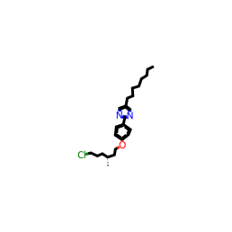 CCCCCCCCc1cnc(-c2ccc(OCC[C@H](C)CCCCl)cc2)nc1